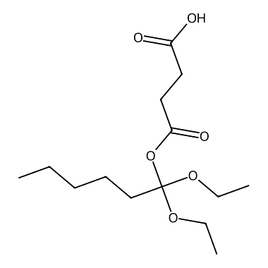 CCCCCC(OCC)(OCC)OC(=O)CCC(=O)O